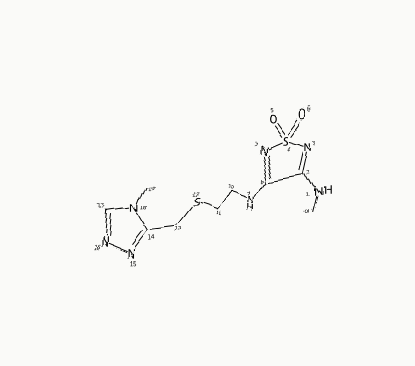 CNC1=NS(=O)(=O)N=C1NCCSCc1nncn1C